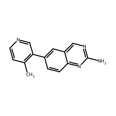 Cc1ccncc1-c1ccc2nc(N)ncc2c1